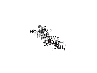 CO[C@@H]1C[C@@]23COC[C@](C)([C@@H]2CC[C@H]2C3=CC[C@@]3(C)[C@H](C(=O)O)[C@@](C)([C@H](C)C(C)C)CC[C@]23C)[C@H]1OC[C@](C)(C(C)C)N(C)C